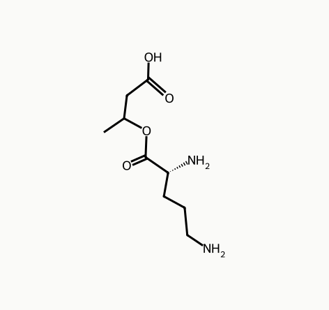 CC(CC(=O)O)OC(=O)[C@H](N)CCCN